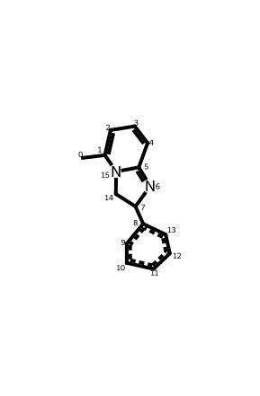 CC1=CC=CC2=NC(c3ccccc3)CN12